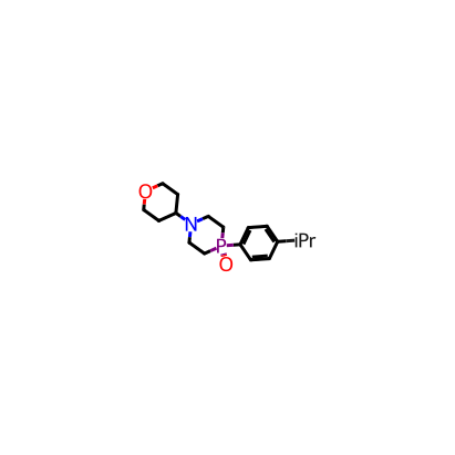 CC(C)c1ccc(P2(=O)CCN(C3CCOCC3)CC2)cc1